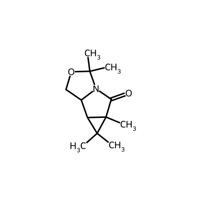 CC1(C)OCC2C3C(C)(C)C3(C)C(=O)N21